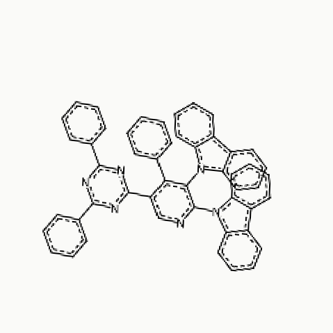 c1ccc(-c2nc(-c3ccccc3)nc(-c3cnc(-n4c5ccccc5c5ccccc54)c(-n4c5ccccc5c5ccccc54)c3-c3ccccc3)n2)cc1